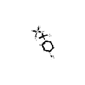 CC[Si](CC)(CC)OC([C@H]1CC[C@H](N)CC1)(C(F)(F)F)C(F)(F)F